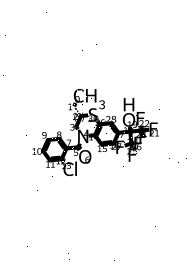 CC[C@H]1CN(C(=O)c2ccccc2Cl)c2ccc(C(O)(C(F)(F)F)C(F)(F)F)cc2S1